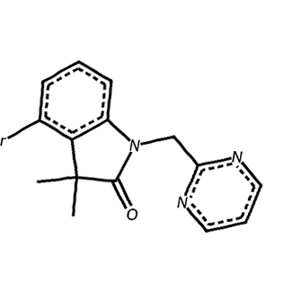 CC1(C)C(=O)N(Cc2ncccn2)c2cccc(Br)c21